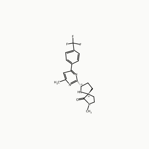 Cc1cc(-c2ccc(C(F)(F)F)cc2)nc([C@@H]2CC[C@]3(CCN(C)C3=O)N2)n1